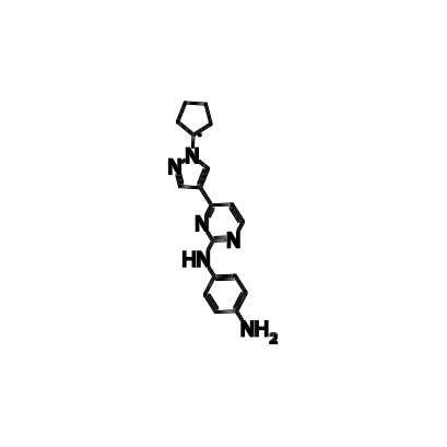 Nc1ccc(Nc2nccc(-c3cnn([C]4CCCC4)c3)n2)cc1